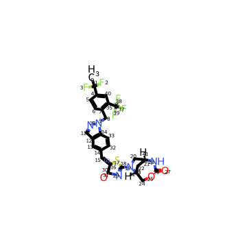 CC(F)(F)c1ccc(Cn2ncc3cc(/C=C4\SC(N5C[C@H]6C[C@@H]5COC(=O)N6)=NC4=O)ccc32)c(C(F)(F)F)c1